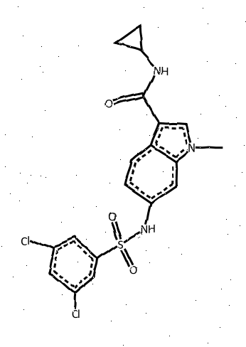 Cn1cc(C(=O)NC2CC2)c2ccc(NS(=O)(=O)c3cc(Cl)cc(Cl)c3)cc21